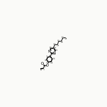 C=CC(=O)Oc1ccc(-c2ncc(CCCCCC)cn2)cc1